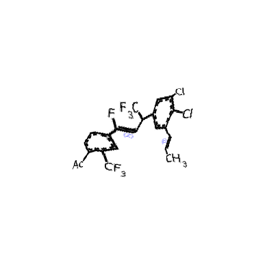 C/C=C/c1cc(C(/C=C(\F)c2ccc(C(C)=O)c(C(F)(F)F)c2)C(F)(F)F)cc(Cl)c1Cl